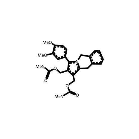 CNC(=O)OCc1c(COC(=O)NC)c(-c2ccc(OC)c(OC)c2)n2c1Cc1ccccc1C2